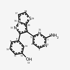 Nc1nccc(-c2c(-c3cccc(O)c3)nn3ccsc23)n1